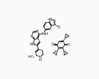 Cl.Clc1n[nH]c2ccc(Nc3ncnc4[nH]c(C5=CCNCC5)cc34)cc12.O=C1C=C(N2CC2)C(=O)C(N2CC2)=C1N1CC1